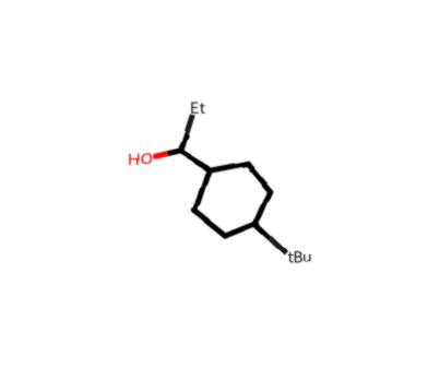 CCC(O)C1CCC(C(C)(C)C)CC1